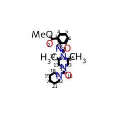 COC(=O)c1cccc2oc(N3C(C)CN(C(=O)N4CCCCC4)CC3C)nc12